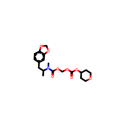 CC(Cc1ccc2c(c1)OCO2)N(C)C(=O)OCOC(=O)OC1CCOCC1